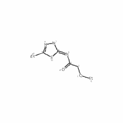 CCOCC(=O)N=C1[N]N=C(CC)S1